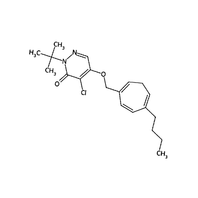 CCCCC1=CCC=C(COc2cnn(C(C)(C)C)c(=O)c2Cl)C=C1